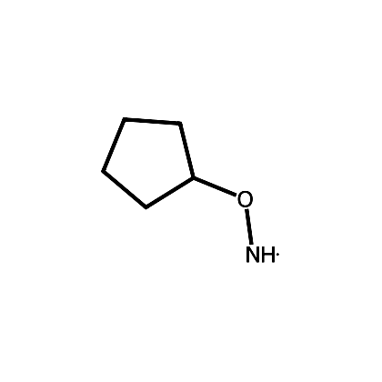 [NH]OC1CCCC1